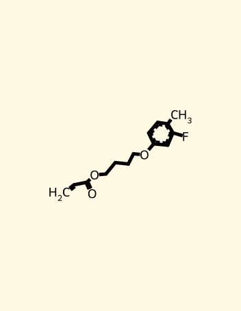 C=CC(=O)OCCCCOc1ccc(C)c(F)c1